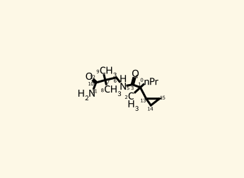 CCCC(C)(C(=O)NCC(C)(C)C(N)=O)C1CC1